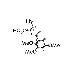 COc1cc(OC)c(OC)c(C(C)CC(CN)C(=O)O)c1